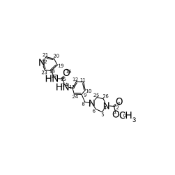 COC(=O)N1CCN(Cc2cccc(NC(=O)Nc3cccnc3)c2)CC1